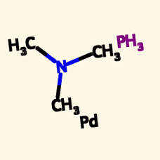 CN(C)C.P.[Pd]